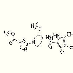 COC(=O)c1cnc(N2CC[C@@H](NC(=O)c3[nH]c(C)c(Cl)c3Cl)[C@@H](OC)C2)s1